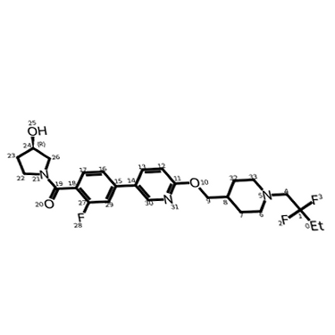 CCC(F)(F)CN1CCC(COc2ccc(-c3ccc(C(=O)N4CC[C@@H](O)C4)c(F)c3)cn2)CC1